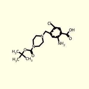 CC(C)(C)OC(=O)N1CCN(Cc2cc(N)c(C(=O)O)cc2Cl)CC1